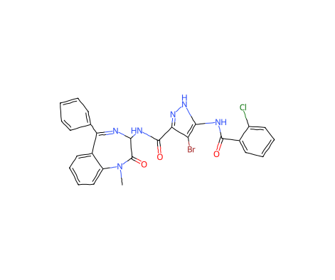 CN1C(=O)C(NC(=O)c2n[nH]c(NC(=O)c3ccccc3Cl)c2Br)N=C(c2ccccc2)c2ccccc21